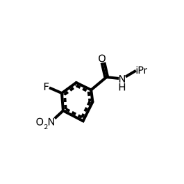 CC(C)NC(=O)c1ccc([N+](=O)[O-])c(F)c1